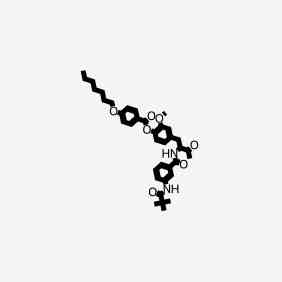 CCCCCCCOc1ccc(C(=O)Oc2ccc(CC(NC(=O)c3cccc(NC(=O)C(C)(C)C)c3)C(C)=O)cc2OC)cc1